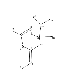 C=C(C)S/C(=C\C)CC(C)(C)C(C)C